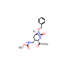 COC(=O)[C@H]1[C@@H](CNC(=O)OC(C)(C)C)C[C@@H]2CN1C(=O)N2OCc1ccccc1